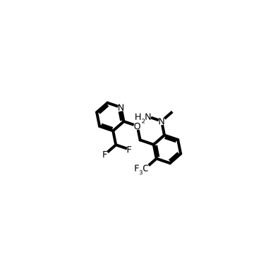 CN(N)c1cccc(C(F)(F)F)c1COc1ncccc1C(F)F